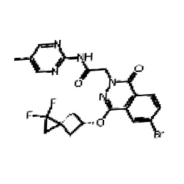 Cc1cnc(NC(=O)Cn2nc(O[C@H]3C[C@@]4(CC4(F)F)C3)c3cc(Br)ccc3c2=O)nc1